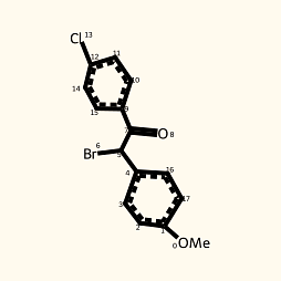 COc1ccc(C(Br)C(=O)c2ccc(Cl)cc2)cc1